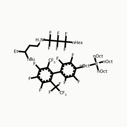 CCCCCCC(F)(F)C(F)(F)C(F)(F)[NH2+]CCC(CC)CCCC.CCCCCCCC[B-](CCCCCCCC)(CCCCCCCC)CCCCCCCC.Fc1c(F)c(F)c(-c2c(C(F)(F)F)c(F)c(F)c(F)c2C(F)(F)C(F)(F)F)c(F)c1F